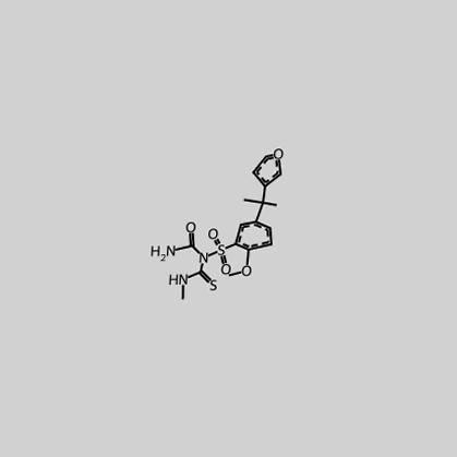 CNC(=S)N(C(N)=O)S(=O)(=O)c1cc(C(C)(C)c2ccoc2)ccc1OC